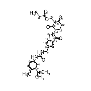 Cc1ccc(NC(=O)NCc2cc3c(s2)C(=O)N(C2CCC(=O)N(COC(=O)CN)C2=O)C3)cc1N(C)C